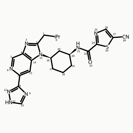 CC(C)Cc1nc2cnc(-c3nc[nH]n3)cc2n1[C@@H]1CCC[C@H](NC(=O)c2ncc(C#N)s2)C1